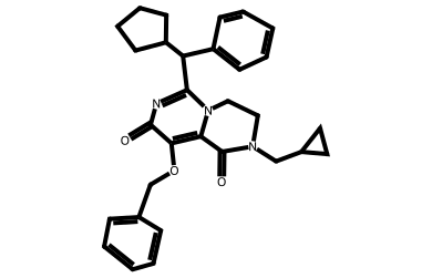 O=C1c2c(OCc3ccccc3)c(=O)nc(C(c3ccccc3)C3CCCC3)n2CCN1CC1CC1